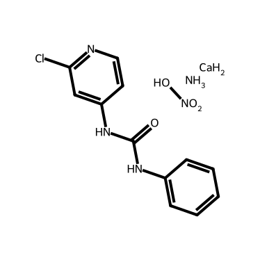 N.O=C(Nc1ccccc1)Nc1ccnc(Cl)c1.O=[N+]([O-])O.[CaH2]